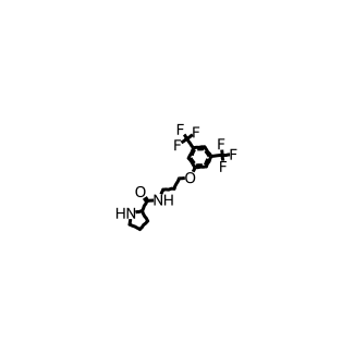 O=C(NCCCOc1cc(C(F)(F)F)cc(C(F)(F)F)c1)C1CCCN1